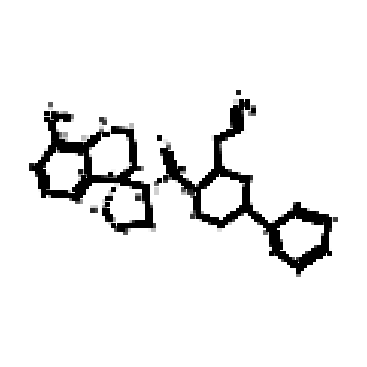 C=CCC1CC(c2ccccc2)CCN1C(=O)[C@@H]1CNC[C@]12CCOc1c(OC)cccc12